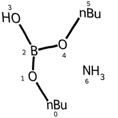 CCCCOB(O)OCCCC.N